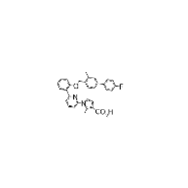 Cc1cc(-c2ccc(F)cc2)ccc1COc1ccccc1-c1cccc(-n2ccc(C(=O)O)c2C)n1